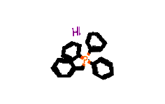 I.c1ccc(C[P](c2ccccc2)(c2ccccc2)c2ccccc2)cc1